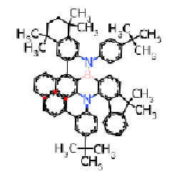 CC(C)(C)c1ccc(N2B3c4ccc5c(c4N(c4ccc(C(C)(C)C)cc4-c4ccccc4)c4cc6ccccc6c(c43)-c3cc4c(cc32)C(C)(C)CCC4(C)C)-c2ccccc2C5(C)C)cc1